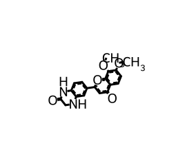 COc1ccc2c(=O)cc(-c3ccc4c(c3)NCC(=O)N4)oc2c1OC